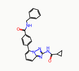 O=C(NCc1ccccc1)c1ccc(-c2cccc3nc(NC(=O)C4CC4)nn23)cc1